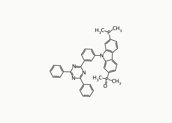 CP(C)c1ccc2c3ccc(P(C)(C)=O)cc3n(-c3cccc(-c4nc(-c5ccccc5)nc(-c5ccccc5)n4)c3)c2c1